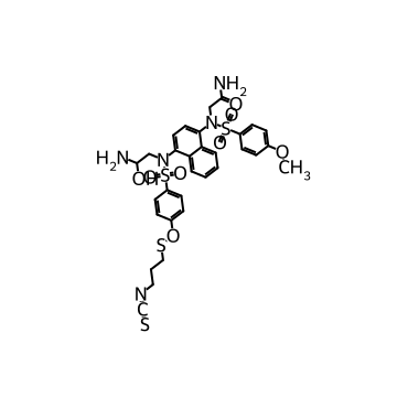 COc1ccc(S(=O)(=O)N(CC(N)=O)c2ccc(N(CC(N)O)S(=O)(=O)c3ccc(OSCCCN=C=S)cc3)c3ccccc23)cc1